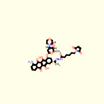 C/C(=N\NC(=O)CCCCCN1C(=O)C=CC1=O)[C@@H]1Cc2c(O)c3c(c(O)c2[C@@H](O[C@H]2C[C@H]4[C@H](O[C@@H]5COCCN54)[C@H](C)O2)C1)C(=O)c1c(N)cccc1C3=O